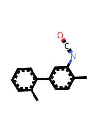 Cc1ccc(-c2ccccc2C)cc1N=C=O